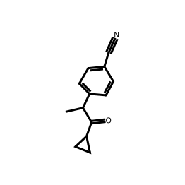 CC(C(=O)C1CC1)c1ccc(C#N)cc1